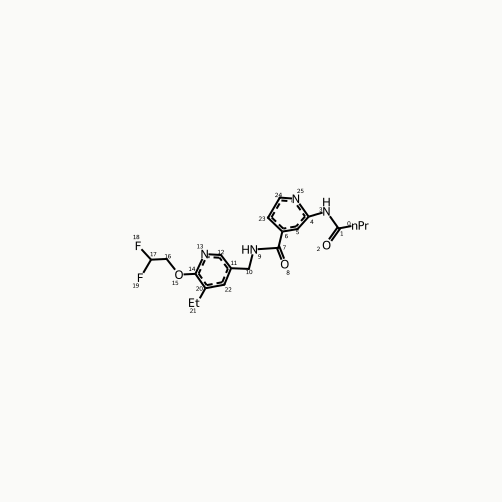 CCCC(=O)Nc1cc(C(=O)NCc2cnc(OCC(F)F)c(CC)c2)ccn1